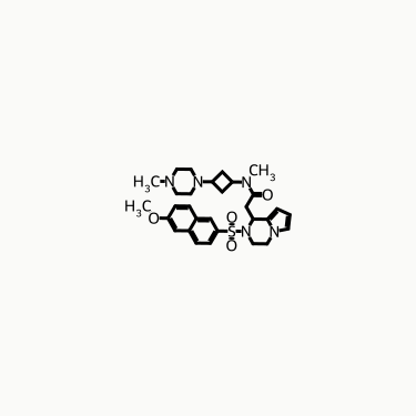 COc1ccc2cc(S(=O)(=O)N3CCn4cccc4C3CC(=O)N(C)C3CC(N4CCN(C)CC4)C3)ccc2c1